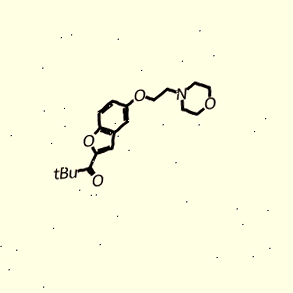 CC(C)(C)C(=O)c1cc2cc(OCCN3CCOCC3)ccc2o1